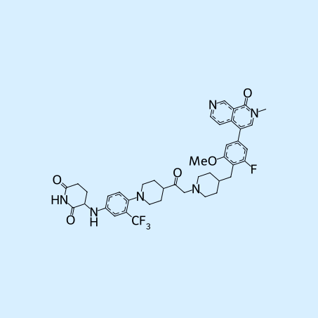 COc1cc(-c2cn(C)c(=O)c3cnccc23)cc(F)c1CC1CCN(CC(=O)C2CCN(c3ccc(NC4CCC(=O)NC4=O)cc3C(F)(F)F)CC2)CC1